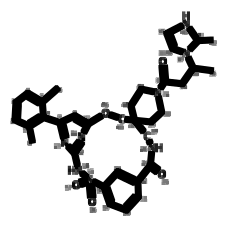 Cc1cccc(C)c1-c1cc2nc(n1)NS(=O)(=O)c1cccc(c1)C(=O)NCC1(CCN(C(=O)CC(C)N3C=CNC3C)CC1)CO2